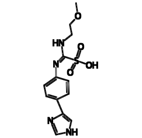 COCCNC(=Nc1ccc(-c2c[nH]cn2)cc1)S(=O)(=O)O